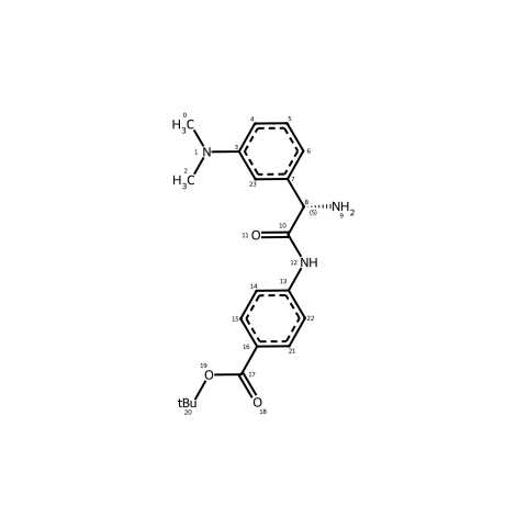 CN(C)c1cccc([C@H](N)C(=O)Nc2ccc(C(=O)OC(C)(C)C)cc2)c1